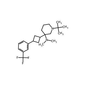 CN(C)C1(C2CC(c3cccc(C(F)(F)F)c3)C2)CCCN(C(C)(C)C)C1